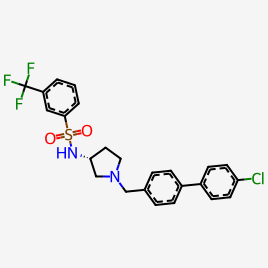 O=S(=O)(N[C@@H]1CCN(Cc2ccc(-c3ccc(Cl)cc3)cc2)C1)c1cccc(C(F)(F)F)c1